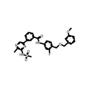 COc1cccc(COCc2ccc(NC(=O)c3cccc(-c4cnc(C)c(NS(C)(=O)=O)n4)c3)cc2F)c1